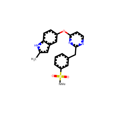 CNS(=O)(=O)c1cccc(Cc2nccc(Oc3ccc4[nH]c(C)cc4c3)n2)c1